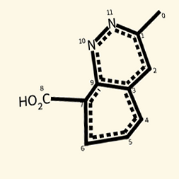 Cc1cc2cccc(C(=O)O)c2nn1